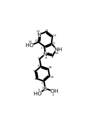 OB(O)c1ccc(C[n+]2c[nH]c3ccnc(O)c32)cc1